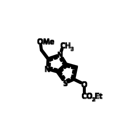 CCOC(=O)Oc1cc2c(nc(COC)n2C)s1